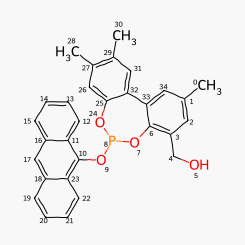 Cc1cc(CO)c2op(Oc3c4ccccc4cc4ccccc34)oc3cc(C)c(C)cc3c2c1